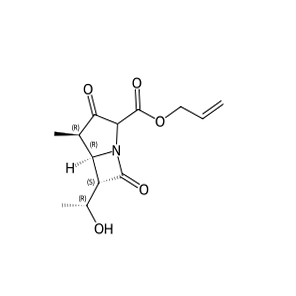 C=CCOC(=O)C1C(=O)[C@H](C)[C@@H]2[C@@H]([C@@H](C)O)C(=O)N12